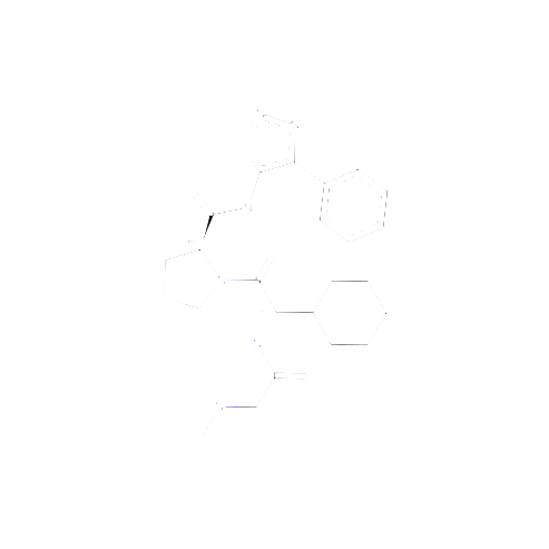 CN[C@@H](C)C(=O)N[C@H](C(=O)N1CSC[C@H]1C(=O)Nc1snnc1-c1ccccc1)C1CCCCC1